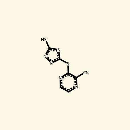 N#Cc1nccnc1Sc1nnc(S)s1